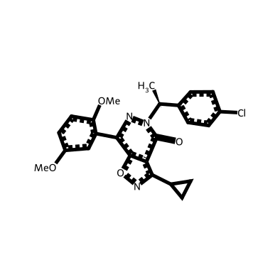 COc1ccc(OC)c(-c2nn([C@@H](C)c3ccc(Cl)cc3)c(=O)c3c(C4CC4)noc23)c1